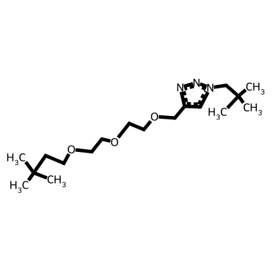 CC(C)(C)CCOCCOCCOCc1cn(CC(C)(C)C)nn1